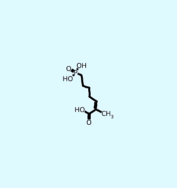 CC(=CCCCCP(=O)(O)O)C(=O)O